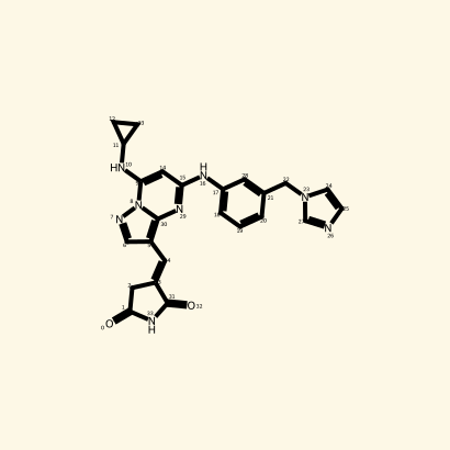 O=C1C/C(=C\c2cnn3c(NC4CC4)cc(Nc4cccc(Cn5ccnc5)c4)nc23)C(=O)N1